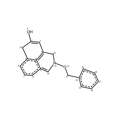 OC1=CC2=c3c(cccc3=CN(OCc3ccccc3)C2)C1